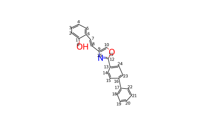 Oc1ccccc1C=Cc1coc(-c2ccc(-c3ccccc3)cc2)n1